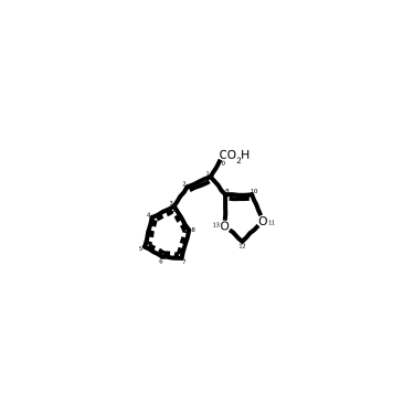 O=C(O)C(=Cc1ccccc1)C1=COCO1